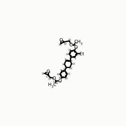 CCc1cc(C2=CCC(c3ccc(OC(C)OCC4CO4)cc3)CC2)ccc1OC(C)OCC1CO1